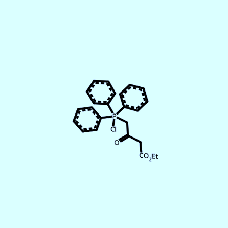 CCOC(=O)CC(=O)CP(Cl)(c1ccccc1)(c1ccccc1)c1ccccc1